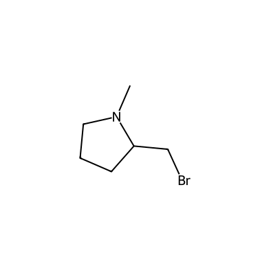 CN1CCCC1CBr